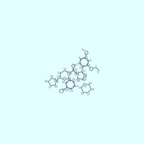 CCOc1cc(OC)ccc1C1=N[C@H](C2CCCCC2)[C@H](c2ccc(Cl)cc2)N1C(=O)N1CCC(N2CCCC2)CC1